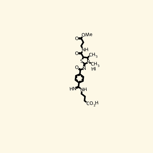 COC(=O)CCNC(=O)C1SC(=NC(=O)c2ccc(C(=N)NCCCC(=O)O)cc2)N(C)C1C.I